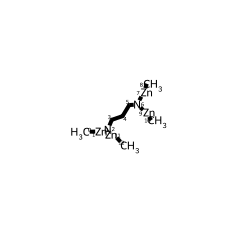 [CH3][Zn][N](CCC[N]([Zn][CH3])[Zn][CH3])[Zn][CH3]